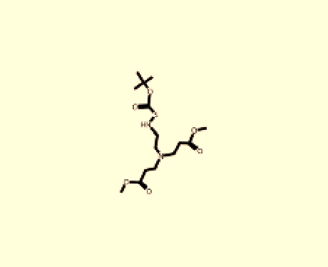 COC(=O)CCN(CCNSC(=O)OC(C)(C)C)CCC(=O)OC